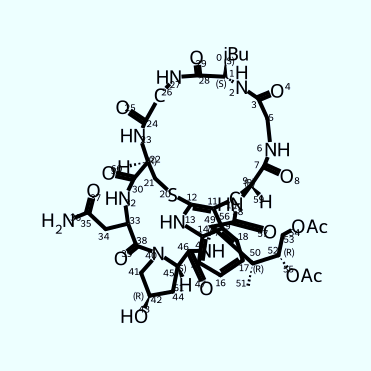 CC[C@H](C)[C@@H]1NC(=O)CNC(=O)[C@H]2Cc3c([nH]c4ccccc34)SC[C@H](NC(=O)CNC1=O)C(=O)NC(CC(N)=O)C(=O)N1C[C@H](O)C[C@H]1C(=O)N[C@@H]([C@@H](C)[C@H](COC(C)=O)OC(C)=O)C(=O)N2